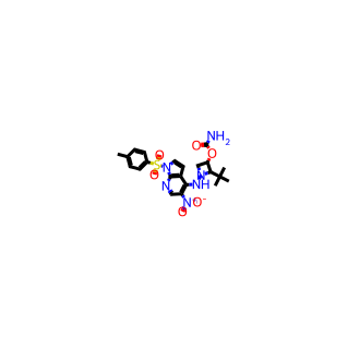 Cc1ccc(S(=O)(=O)n2ccc3c(NN4CC(OC(N)=O)C4C(C)(C)C)c([N+](=O)[O-])cnc32)cc1